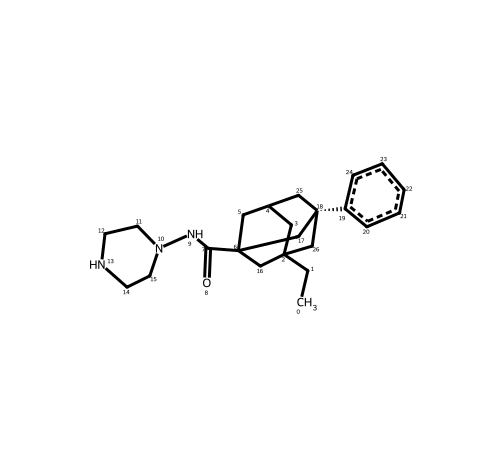 CCC12CC3CC(C(=O)NN4CCNCC4)(C1)C[C@@](c1ccccc1)(C3)C2